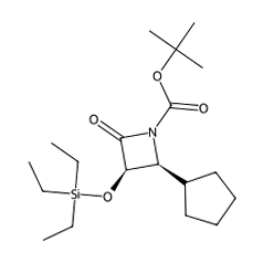 CC[Si](CC)(CC)O[C@H]1C(=O)N(C(=O)OC(C)(C)C)[C@H]1C1CCCC1